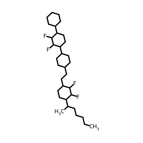 CCCCCC(C)C1CCC(CCC2CCC(C3CCC(C4CCCCC4)C(F)C3F)CC2)C(F)C1F